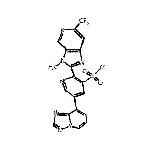 CCS(=O)(=O)c1cc(-c2cccn3ncnc23)cnc1-c1nc2cc(C(F)(F)F)ncc2n1C